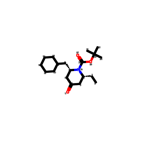 CC[C@@H]1CC(=O)C[C@H](CC2CCCCC2)N1C(=O)OC(C)(C)C